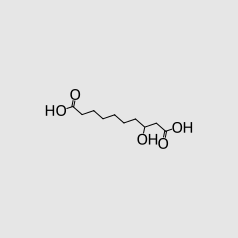 O=C(O)CCCCCCC(O)CC(=O)O